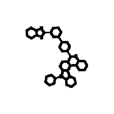 c1ccc(-n2c3ccccc3c3c4c(ccc32)c(-c2ccc(-c3cccc(-c5nc6ccccc6s5)c3)cc2)nc2ccccc24)cc1